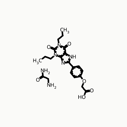 CCCn1c(=O)c2[nH]c(-c3ccc(OCC(=O)O)cc3)nc2n(CCC)c1=O.NCC(N)=O